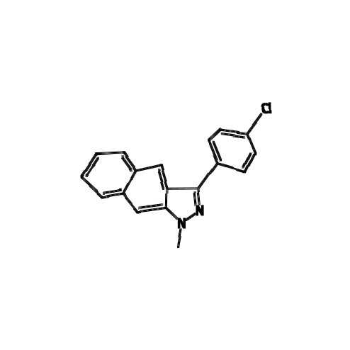 Cn1nc(-c2ccc(Cl)cc2)c2cc3ccccc3cc21